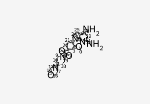 COc1cc(S(=O)(=O)N2CCC(N3CCOCC3)CC2)ccc1-n1ccc2c(N)cc(N)nc21